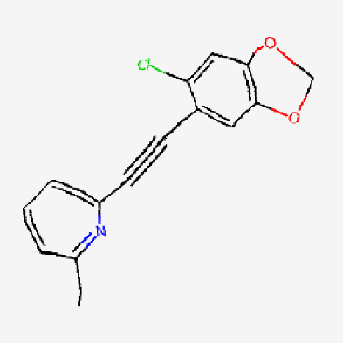 Cc1cccc(C#Cc2cc3c(cc2Cl)OCO3)n1